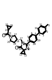 Cc1ccc(-c2ccc(C3=NC4(CC4)C(=O)N3C[C@@H]3CCN(C(=O)C4CC4)C3)cc2)cc1